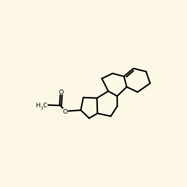 CC(=O)OC1CC2CCC3C4CCCC=C4CCC3C2C1